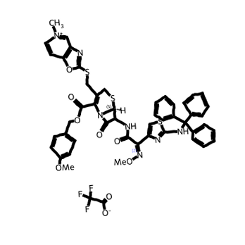 CO/N=C(\C(=O)NC1C(=O)N2C(C(=O)OCc3ccc(OC)cc3)=C(CSc3nc4c[n+](C)ccc4o3)CS[C@@H]12)c1csc(NC(c2ccccc2)(c2ccccc2)c2ccccc2)n1.O=C([O-])C(F)(F)F